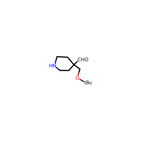 CC(C)(C)OCC1(C=O)CCNCC1